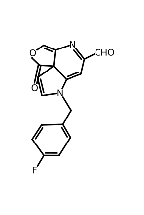 O=CC1=NC2=COCC(=O)C23C=CN(Cc2ccc(F)cc2)C3=C1